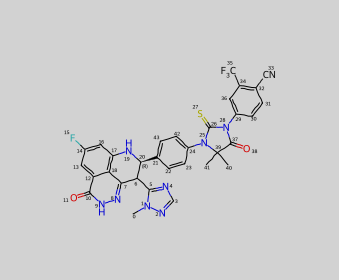 Cn1ncnc1C1c2n[nH]c(=O)c3cc(F)cc(c23)N[C@H]1c1ccc(N2C(=S)N(c3ccc(C#N)c(C(F)(F)F)c3)C(=O)C2(C)C)cc1